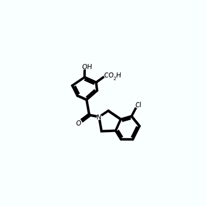 O=C(O)c1cc(C(=O)N2Cc3cccc(Cl)c3C2)ccc1O